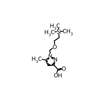 Cc1cc(C(=O)O)nn1COCC[Si](C)(C)C